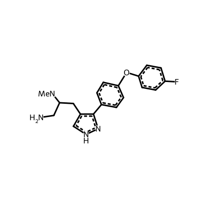 CNC(CN)Cc1c[nH]nc1-c1ccc(Oc2ccc(F)cc2)cc1